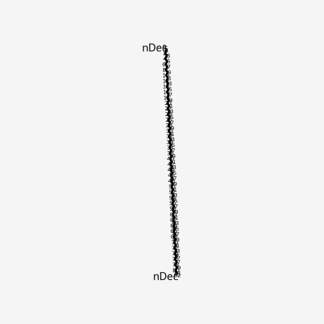 CCCCCCCCCCCCCCCCCCCCCCCCCCCCCCCCCCCCCCCCCCCCCCCCCCCCCCCCCCCCCCCCCCCCCCCCCCCCCCCCCCCCCCCCCCCCCCCCCCCCC